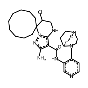 Nc1nn2c(c1C(=O)Nc1cnccc1N1CCN3CCC1CC3)NCC(Cl)C21CCCCCCCCC1